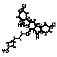 OC1CN(CCCOc2c3[nH]c4ccc(Cl)cc4c3cc3c2[nH]c2ccc(Cl)cc23)C1